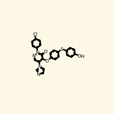 O=c1c(Oc2ccc(Sc3ccc(O)cc3)cc2)c(-n2ccnc2)cnn1-c1ccc(Cl)cc1